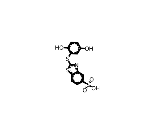 O=S(=O)(O)c1ccc2sc(Sc3cc(O)ccc3O)nc2c1